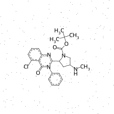 CNC1CC(c2nc3cccc(Cl)c3c(=O)n2-c2ccccc2)N(C(=O)OC(C)(C)C)C1